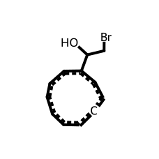 OC(CBr)c1ccccccccc1